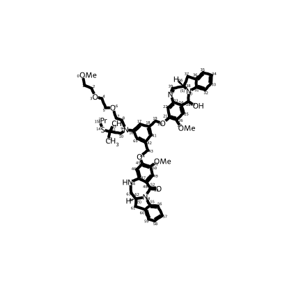 COCCOCCOCCN(CC(C)(C)SC(C)C)c1cc(COc2cc3c(cc2OC)C(O)N2c4ccccc4C[C@H]2C=N3)cc(COc2cc3c(cc2OC)C(=O)N2c4ccccc4C[C@H]2CN3)c1